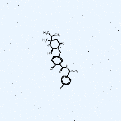 CC(C)[C@]1(C)CC(=O)N(Cc2ccc(Cl)c(C(=O)N[C@@H](C)c3ccc(F)cc3)c2)C(=N)N1